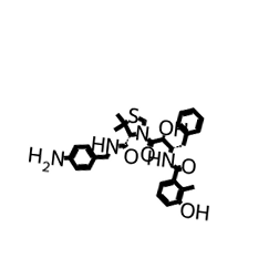 Cc1c(O)cccc1C(=O)N[C@@H](Cc1ccccc1)[C@H](O)C(=O)N1CSC(C)(C)[C@H]1C(=O)NCc1ccc(N)cc1